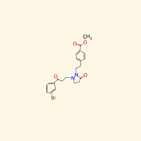 COC(=O)c1ccc(CCN2C(=O)CCN2CCC(=O)c2cccc(Br)c2)cc1